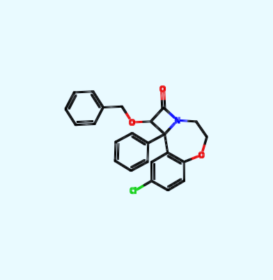 O=C1C(OCc2ccccc2)C2(c3ccccc3)c3cc(Cl)ccc3OCCN12